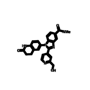 CNC(=O)c1ccc2c(c1)nc(-c1ccnc(CO)c1)n2-c1ccc2c(c1)CCC(=O)N2